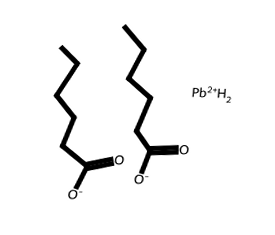 CCCCCC(=O)[O-].CCCCCC(=O)[O-].[PbH2+2]